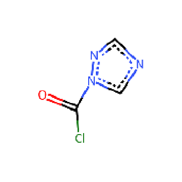 O=C(Cl)n1cncn1